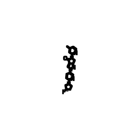 Cc1ccnc(N2Cc3nn(-c4ccc(N5CC[C@@H](F)C5)nc4)cc3C2=O)c1